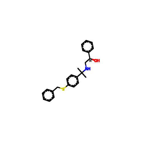 CC(C)(NC[C@H](O)c1ccccc1)c1ccc(SCc2ccccc2)cc1